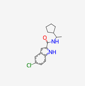 CC(NC(=O)c1cc2cc(Cl)ccc2[nH]1)C1CCCC1